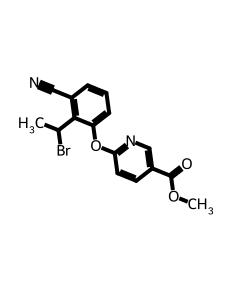 COC(=O)c1ccc(Oc2cccc(C#N)c2C(C)Br)nc1